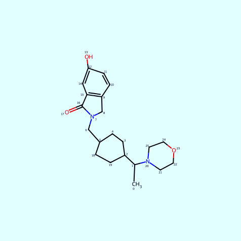 CC(C1CCC(CN2Cc3ccc(O)cc3C2=O)CC1)N1CCOCC1